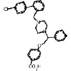 O=C(O)c1ccc(OCC(c2ccccc2)N2CCN(Cc3ccccc3-c3ccc(Cl)cc3)CC2)cc1